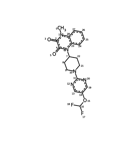 Cn1c(=O)c(=O)n(C2CCN(c3ncc(OC(F)F)cn3)CC2)c2ccccc21